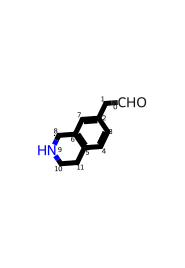 O=CCc1ccc2c(c1)[CH]NCC2